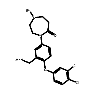 CNCc1cc(N2CCN(C(C)C)CCC2=O)ccc1Oc1ccc(Cl)c(Cl)c1